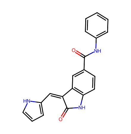 O=C1Nc2ccc(C(=O)Nc3ccccc3)cc2C1=Cc1ccc[nH]1